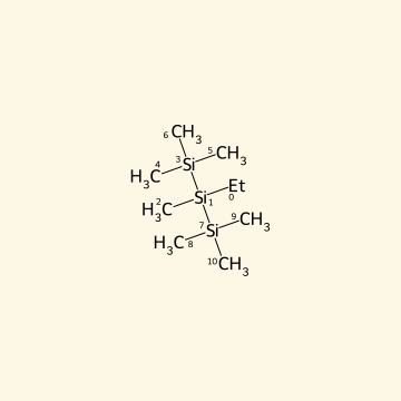 [CH2]C[Si](C)([Si](C)(C)C)[Si](C)(C)C